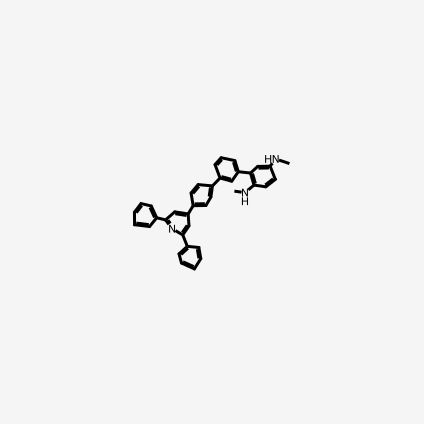 CNc1ccc(NC)c(-c2cccc(-c3ccc(-c4cc(-c5ccccc5)nc(-c5ccccc5)c4)cc3)c2)c1